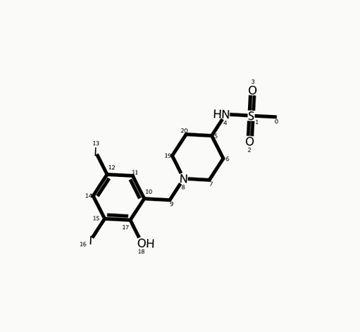 CS(=O)(=O)NC1CCN(Cc2cc(I)cc(I)c2O)CC1